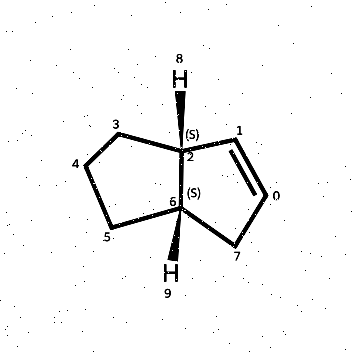 C1=C[C@H]2CCC[C@H]2C1